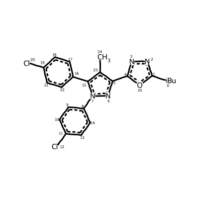 CCC(C)c1nnc(-c2nn(-c3ccc(Cl)cc3)c(-c3ccc(Cl)cc3)c2C)o1